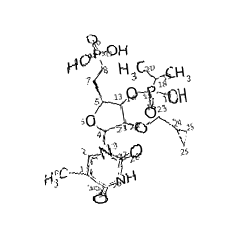 Cc1cn(C2O[C@@H](CCP(=O)(O)O)C(OP(=O)(O)C(C)C)C2OCC2CC2)c(=O)[nH]c1=O